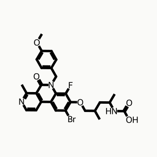 COc1ccc(Cn2c(=O)c3c(C)nccc3c3cc(Br)c(OCC(C)CC(C)NC(=O)O)c(F)c32)cc1